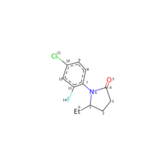 CCC1CCC(=O)N1c1ccc(Cl)cc1F